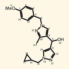 COc1ccc(Cn2cc(C(O)c3cnn(CC4CC4)c3)c(I)n2)cc1